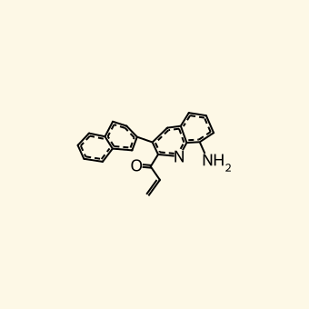 C=CC(=O)c1nc2c(N)cccc2cc1-c1ccc2ccccc2c1